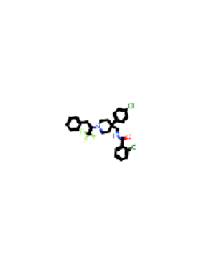 O=C(NCC1(c2ccc(Cl)cc2)CCN(C(Cc2ccccc2)C(F)(F)F)CC1)c1ccccc1Cl